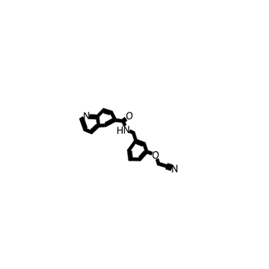 N#CCOc1cccc(CNC(=O)c2ccc3ncccc3c2)c1